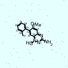 COc1cc2nc(N)n[n+](O)c2cc1-c1ccccc1C